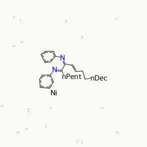 CCCCCCCCCCCCC=CC(=Nc1ccccc1)C(CCCCC)=Nc1ccccc1.[Ni]